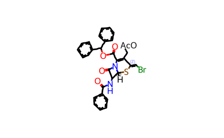 CC(=O)OCC1=C(C(=O)OC(c2ccccc2)c2ccccc2)N2C(=O)C(NC(=O)c3ccccc3)[C@H]2S/C1=C\Br